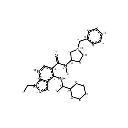 CCn1ncc2c(NC(C)C3CCCCC3)c(C(=O)N(C)C3CCN(Cc4ccccc4)C3)cnc21